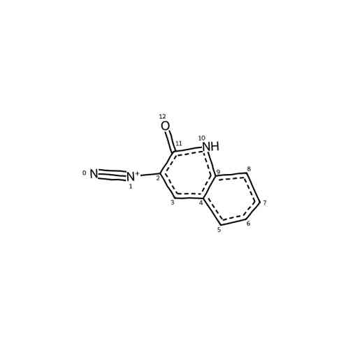 N#[N+]c1cc2ccccc2[nH]c1=O